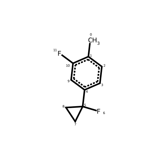 Cc1ccc(C2(F)CC2)cc1F